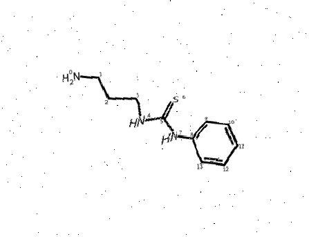 NCCCNC(=S)Nc1ccccc1